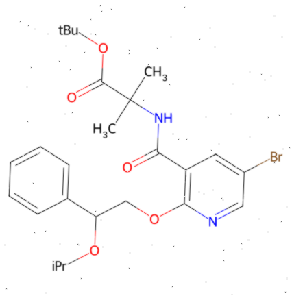 CC(C)OC(COc1ncc(Br)cc1C(=O)NC(C)(C)C(=O)OC(C)(C)C)c1ccccc1